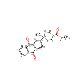 COC(=O)C1CCC(C)(c2ccc3c(c2)C(=O)c2ccccc2C3=O)CC1